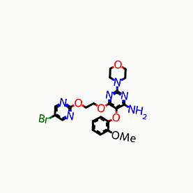 COc1ccccc1Oc1c(N)nc(N2CCOCC2)nc1OCCOc1ncc(Br)cn1